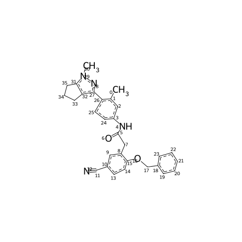 Cc1cc(NC(=O)Cc2cc(C#N)ccc2OCc2ccccc2)ccc1-c1nn(C)c2c1CCC2